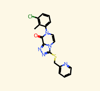 Cc1c(Cl)cccc1-n1ccn2c(SCc3ccccn3)nnc2c1=O